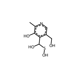 Cc1ncc(CO)c(C(O)SO)c1O